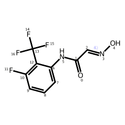 O=C(/C=N/O)Nc1cccc(F)c1C(F)(F)F